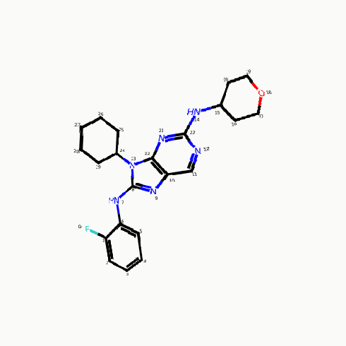 Fc1ccccc1Nc1nc2cnc(NC3CCOCC3)nc2n1C1CCCCC1